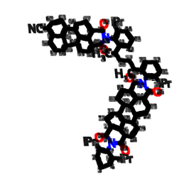 CC(C)c1cccc(C(C)C)c1N1C(=O)c2ccc3c4c2C(C=CC4C2=CC=C4C(=O)N(c5c(C(C)C)cccc5C(C)CCC(C)c5cccc(C(C)C)c5N5C(=O)c6ccc7c8cccc9c(C#N)ccc(c%10ccc(c6c7%10)C5=O)c98)C(=O)C5=C4C2C3C=C5)C1=O